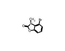 Cn1c(=O)oc2cccc(Br)c21